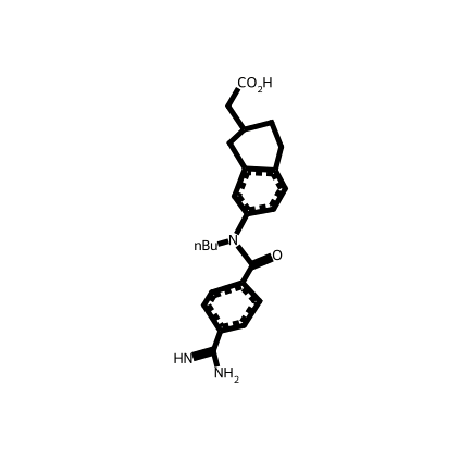 CCCCN(C(=O)c1ccc(C(=N)N)cc1)c1ccc2c(c1)CC(CC(=O)O)CC2